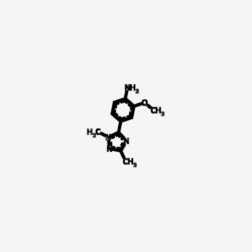 COc1cc(-c2nc(C)nn2C)ccc1N